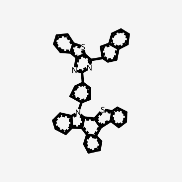 c1ccc2cc(-c3nc(-c4ccc(-n5c6ccccc6c6c7ccccc7c7c8ccccc8sc7c65)cc4)nc4c3sc3ccccc34)ccc2c1